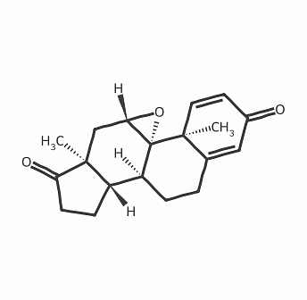 C[C@]12C=CC(=O)C=C1CC[C@H]1[C@@H]3CCC(=O)[C@@]3(C)C[C@@H]3O[C@@]312